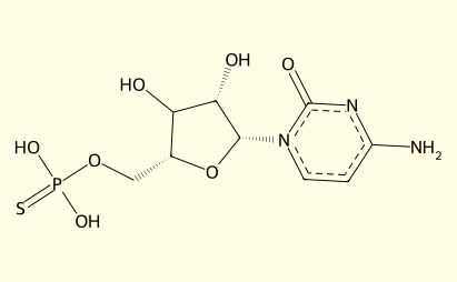 Nc1ccn([C@@H]2O[C@H](COP(O)(O)=S)C(O)[C@@H]2O)c(=O)n1